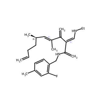 C=CCC[C@@H](C)/C=C(\C)C(=C)/C(=C\NCC)C(=C)NCc1ccc(C)cc1F